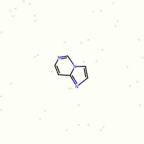 [c]1cn2cnccc2n1